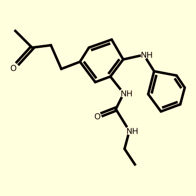 CCNC(=O)Nc1cc(CCC(C)=O)ccc1Nc1ccccc1